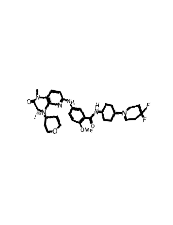 COc1ccc(Nc2ccc3c(n2)N(C2CCOCC2)[C@H](C)C(=O)N3C)cc1C(=O)NC1CCC(N2CCC(F)(F)CC2)CC1